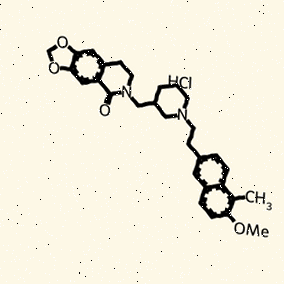 COc1ccc2cc(CCN3CCCC(CN4CCc5cc6c(cc5C4=O)OCO6)C3)ccc2c1C.Cl